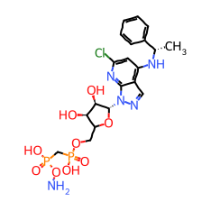 C[C@H](Nc1cc(Cl)nc2c1cnn2[C@@H]1OC(COP(=O)(O)CP(=O)(O)ON)[C@@H](O)[C@H]1O)c1ccccc1